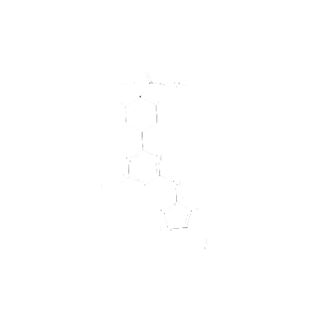 COC(=O)C1(C=O)CCC(c2nc(C)cc(Nc3cc(C)[nH]n3)n2)CC1